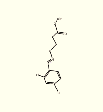 CCCOC(=O)CCO/N=C/c1c[c]c(Cl)cc1Cl